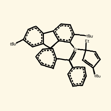 CC[C]1([Zr](=[C](c2ccccc2)c2ccccc2)[c]2c(C(C)(C)C)ccc3c2Cc2cc(C(C)(C)C)ccc2-3)C=CC(C(C)(C)C)=C1